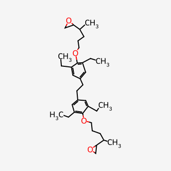 CCc1cc(CCc2cc(CC)c(OCCCC(C)C3CO3)c(CC)c2)cc(CC)c1OCCCC(C)C1CO1